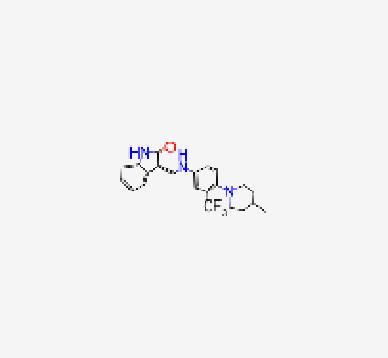 CC1CCN(c2ccc(NC=C3C(=O)Nc4ccccc43)cc2C(F)(F)F)CC1